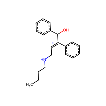 CCCCNC/C=C(\c1ccccc1)C(O)c1ccccc1